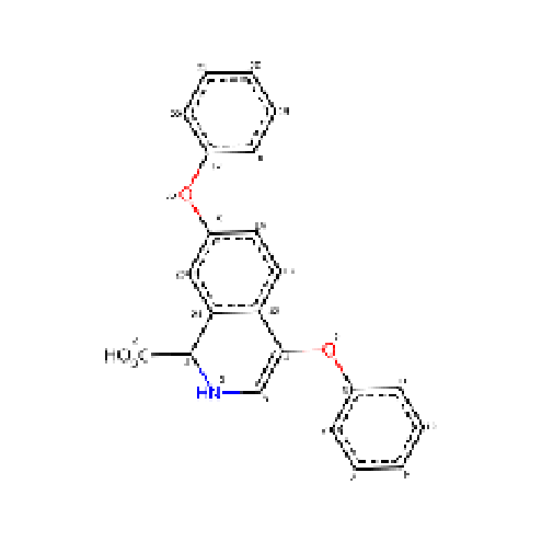 O=C(O)C1NC=C(Oc2ccccc2)c2ccc(Oc3ccccc3)cc21